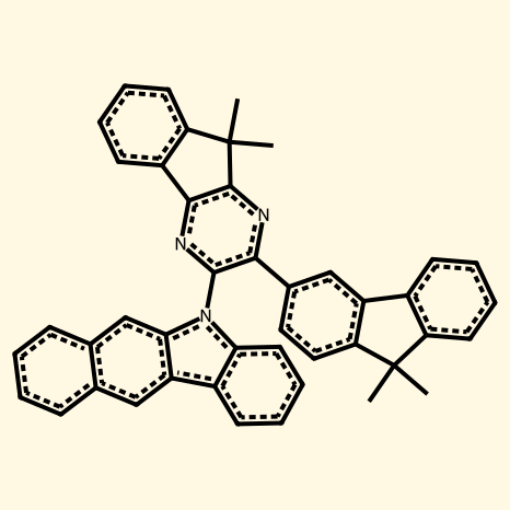 CC1(C)c2ccccc2-c2cc(-c3nc4c(nc3-n3c5ccccc5c5cc6ccccc6cc53)-c3ccccc3C4(C)C)ccc21